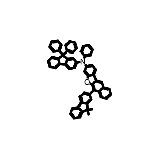 CC1(C)c2ccccc2-c2ccc(-c3c4ccccc4cc4c3oc3cc(N(c5ccccc5)c5ccc6c(c5)C(c5ccccc5)(c5ccccc5)c5ccccc5-6)ccc34)cc21